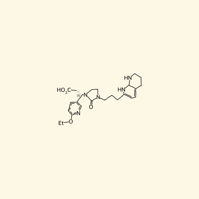 CCOc1ccc([C@H](CC(=O)O)N2CCN(CCCC3=CC=C4CCCNC4N3)C2=O)cn1